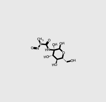 CN(N=O)C(=O)N[C@@]1(O)C(O)O[C@H](CO)[C@@H](O)[C@@H]1O